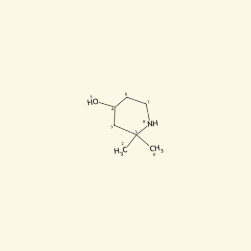 CC1(C)CC(O)CCN1